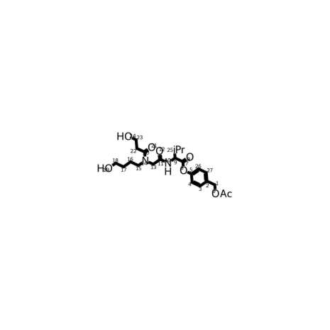 CC(=O)OCc1ccc(OC(=O)C(NC(=O)CN(CCCCO)C(=O)CCO)C(C)C)cc1